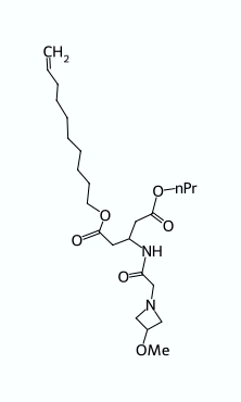 C=CCCCCCCCCOC(=O)CC(CC(=O)OCCC)NC(=O)CN1CC(OC)C1